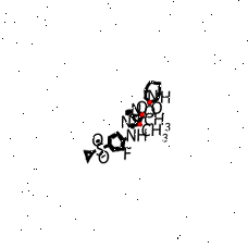 Cc1c(Nc2ccc(S(=O)(=O)C3CC3)cc2F)ncnc1O[C@H]1CC2CC[C@@H](C1)N2C(=O)OC1(C)CC1